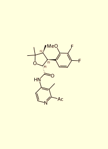 COc1c([C@H]2[C@H](C(=O)Nc3ccnc(C(C)=O)c3C)OC(C)(C)[C@H]2C)ccc(F)c1F